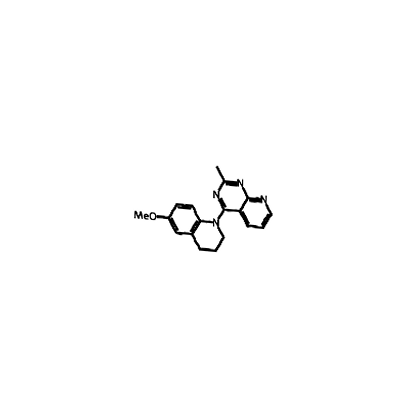 COc1ccc2c(c1)CCCN2c1nc(C)nc2ncccc12